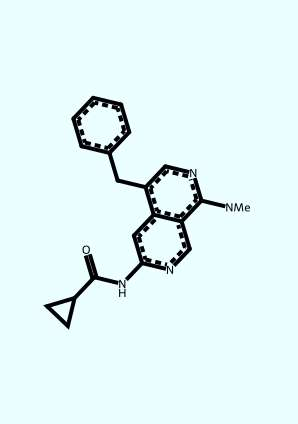 CNc1ncc(Cc2ccccc2)c2cc(NC(=O)C3CC3)ncc12